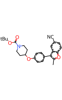 Cc1oc2ccc(C#N)cc2c1-c1ccc(OC2CCN(C(=O)OC(C)(C)C)CC2)cc1